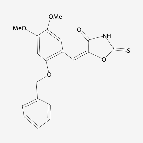 COc1cc(C=C2OC(=S)NC2=O)c(OCc2ccccc2)cc1OC